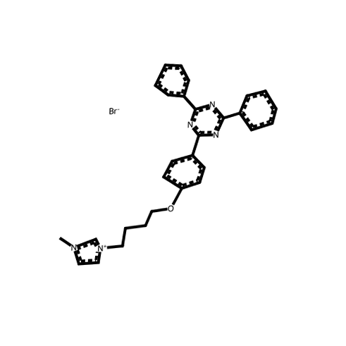 Cn1cc[n+](CCCCOc2ccc(-c3nc(-c4ccccc4)nc(-c4ccccc4)n3)cc2)c1.[Br-]